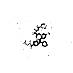 COc1ccc2c(c1)CC(C(=O)N(C)CC(=O)N1CCOCC1)Cn1c-2c(C2CCCCC2)c2ccc(C(=O)NSN(C)C)cc21